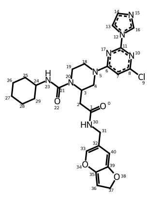 O=C(CC1CN(c2cc(Cl)nc(-n3ccnc3)n2)CCN1C(=O)NC1CCCCC1)NCC1=COC2=CCOC2=C1